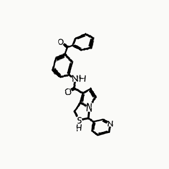 O=C(c1ccccc1)c1cccc(NC(=O)c2ccn3c2C[SH]C3c2cccnc2)c1